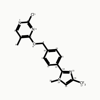 Cc1cnc(Cl)nc1OCc1ccc(-c2nc(C(F)(F)F)cn2C)cc1